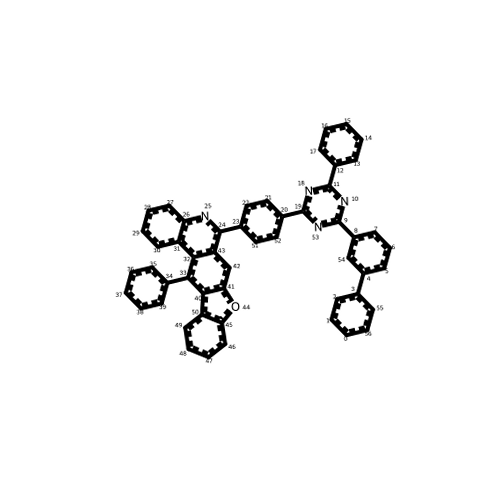 c1ccc(-c2cccc(-c3nc(-c4ccccc4)nc(-c4ccc(-c5nc6ccccc6c6c(-c7ccccc7)c7c(cc56)oc5ccccc57)cc4)n3)c2)cc1